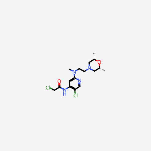 C[C@@H]1CN(CCN(C)c2cc(NC(=O)CCl)c(Cl)cn2)C[C@H](C)O1